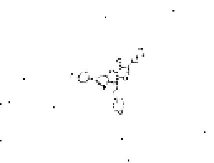 O=C(NC1CC2(CCC2)C1)c1cc2cc(-c3ccc(F)cc3)cnc2n(CCN2CCOCC2)c1=O